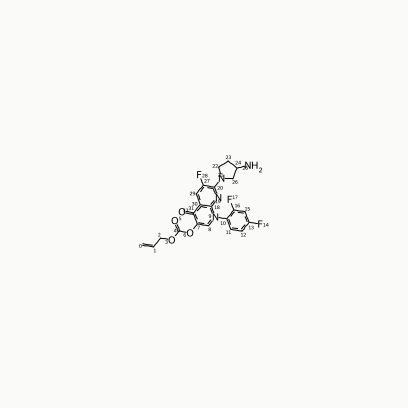 C=CCOC(=O)Oc1cn(-c2ccc(F)cc2F)c2nc(N3CCC(N)C3)c(F)cc2c1=O